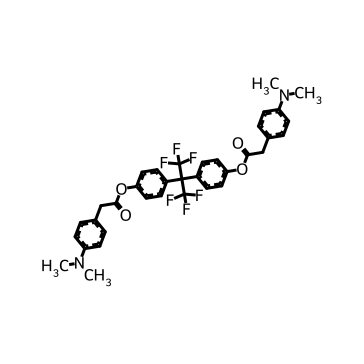 CN(C)c1ccc(CC(=O)Oc2ccc(C(c3ccc(OC(=O)Cc4ccc(N(C)C)cc4)cc3)(C(F)(F)F)C(F)(F)F)cc2)cc1